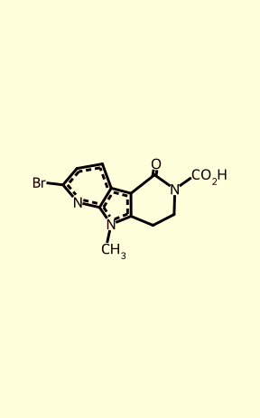 Cn1c2c(c3ccc(Br)nc31)C(=O)N(C(=O)O)CC2